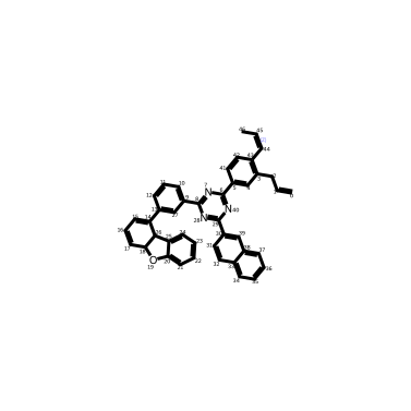 C=CCc1cc(-c2nc(-c3cccc(C4=CC=CC5Oc6ccccc6C45)c3)nc(-c3ccc4ccccc4c3)n2)ccc1/C=C\C